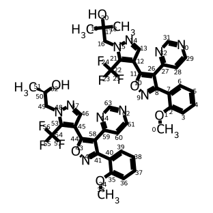 COc1ccccc1-c1noc(-c2cnn(CC(C)(C)O)c2C(F)(F)F)c1-c1ccncn1.COc1ccccc1-c1noc(-c2cnn(C[C@@H](C)O)c2C(F)(F)F)c1-c1ccncn1